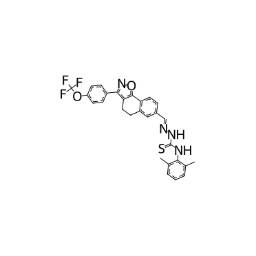 Cc1cccc(C)c1NC(=S)NN=Cc1ccc2c(c1)CCc1c(-c3ccc(OC(F)(F)F)cc3)noc1-2